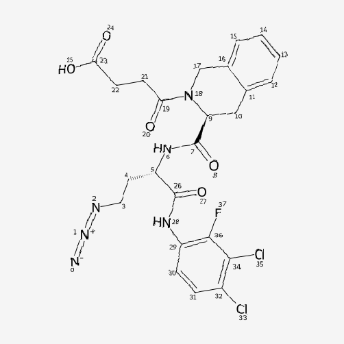 [N-]=[N+]=NCC[C@H](NC(=O)[C@@H]1Cc2ccccc2CN1C(=O)CCC(=O)O)C(=O)Nc1ccc(Cl)c(Cl)c1F